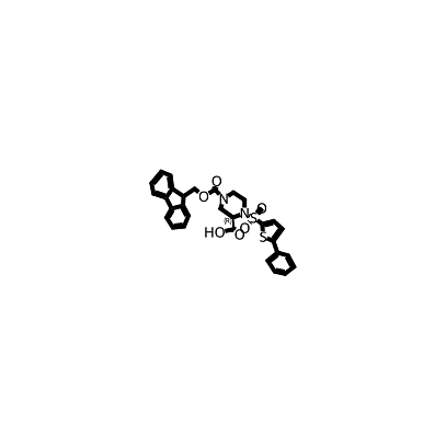 O=C(O)[C@H]1CN(C(=O)OCC2c3ccccc3-c3ccccc32)CCN1S(=O)(=O)c1ccc(-c2ccccc2)s1